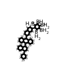 Bc1c(B)c(B)c(-c2ccc3ccc(-c4c5ccccc5c(-c5ccc(-c6ccccc6)c6ccccc56)c5ccccc45)cc3c2)c(B)c1B